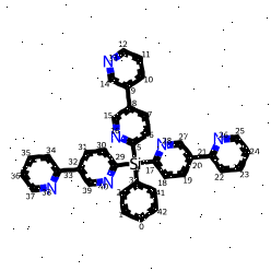 c1ccc([Si](c2ccc(-c3cccnc3)cn2)(c2ccc(-c3ccccn3)cn2)c2ccc(-c3ccccn3)cn2)cc1